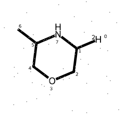 [2H]C1COCC(C)N1